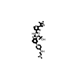 Cc1c(-c2nccc(C(=O)Nc3nc4ccc(N5CCC(NCCN(C)C)CC5)cc4n3CC(C)(C)O)c2F)cnn1C